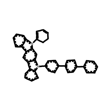 C1=CCCC(n2c3ccccc3c3cc4c5ccccc5n(-c5ccc(-c6ccc(-c7ccccc7)cc6)cc5)c4cc32)=C1